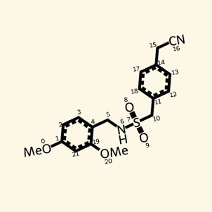 COc1ccc(CNS(=O)(=O)Cc2ccc(CC#N)cc2)c(OC)c1